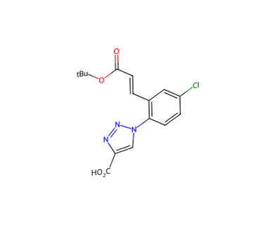 CC(C)(C)OC(=O)C=Cc1cc(Cl)ccc1-n1cc(C(=O)O)nn1